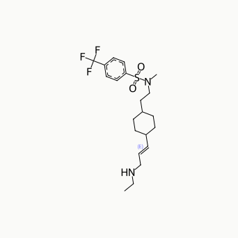 CCNC/C=C/C1CCC(CCN(C)S(=O)(=O)c2ccc(C(F)(F)F)cc2)CC1